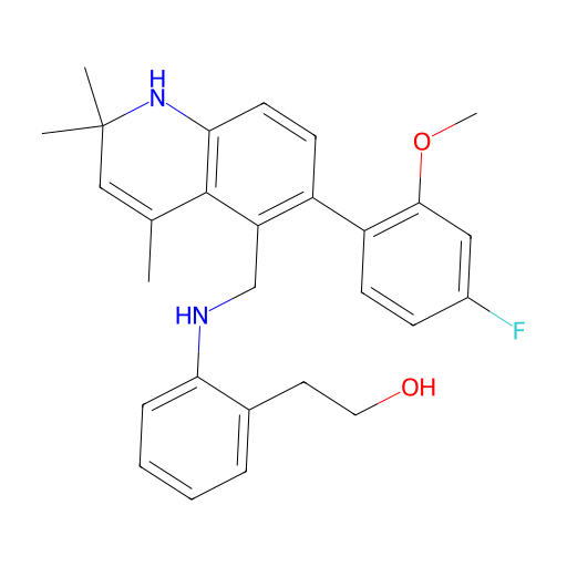 COc1cc(F)ccc1-c1ccc2c(c1CNc1ccccc1CCO)C(C)=CC(C)(C)N2